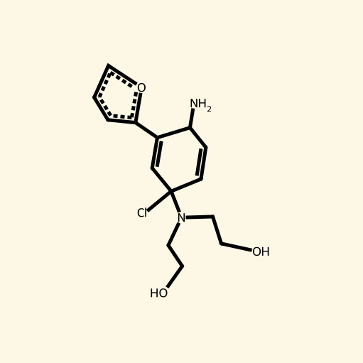 NC1C=CC(Cl)(N(CCO)CCO)C=C1c1ccco1